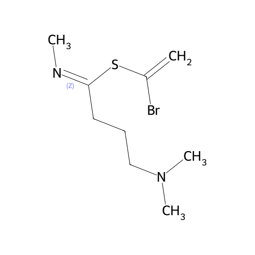 C=C(Br)S/C(CCCN(C)C)=N\C